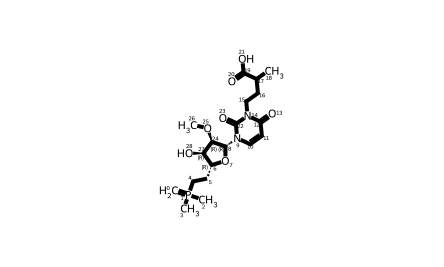 C=P(C)(C)CC[C@H]1O[C@@H](n2ccc(=O)n(CCC(C)C(=O)O)c2=O)[C@H](OC)[C@@H]1O